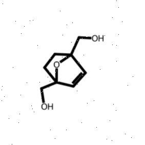 OCC12C=CC(CO)(CC1)O2